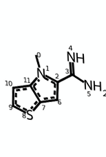 Cn1c(C(=N)N)cc2sccc21